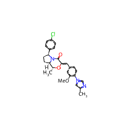 COc1cc(C=C2O[C@H](C)[C@H]3CC[C@@H](c4ccc(Cl)cc4)N3C2=O)ccc1-n1cnc(C)c1